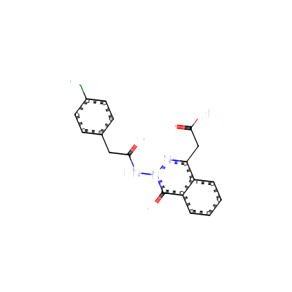 O=C(O)Cc1nn(NC(=O)Cc2ccc(Cl)cc2)c(=O)c2ccccc12